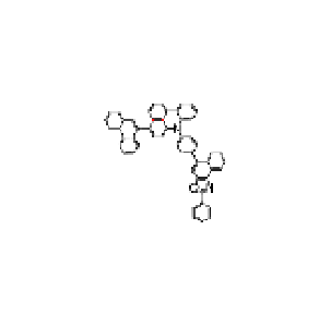 c1ccc(-c2nc3c(cc(-c4ccc(N(c5ccc(-c6cc7ccccc7c7ccccc67)cc5)c5ccccc5-c5ccccc5)cc4)c4ccccc43)o2)cc1